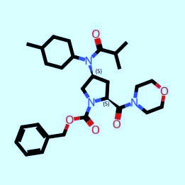 CC1CCC(N(C(=O)C(C)C)[C@H]2C[C@@H](C(=O)N3CCOCC3)N(C(=O)OCc3ccccc3)C2)CC1